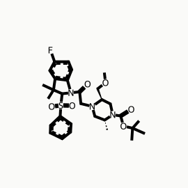 COC[C@H]1CN(C(=O)OC(C)(C)C)[C@H](C)CN1CC(=O)N1c2ccc(F)cc2C(C)(C)C1S(=O)(=O)c1ccccc1